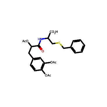 CC(=O)Oc1ccc(CC(OC(C)=O)C(=O)NC(CSCc2ccccc2)C(=O)O)cc1OC(C)=O